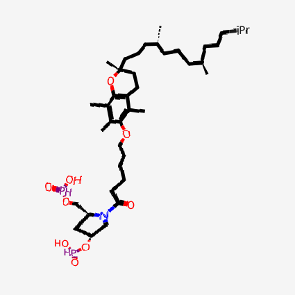 Cc1c(C)c2c(c(C)c1OCCCCCC(=O)N1C[C@H](O[PH](=O)O)C[C@H]1CO[PH](=O)O)CC[C@@](C)(CCC[C@H](C)CCC[C@H](C)CCCC(C)C)O2